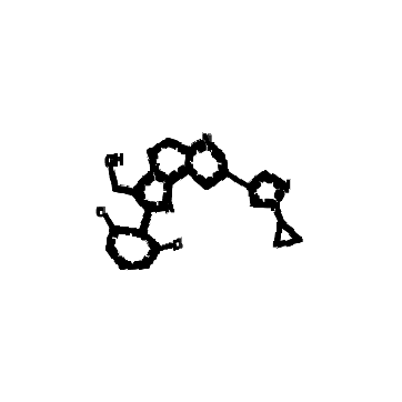 OCc1c(-c2c(Cl)cccc2Cl)nc2c3cc(-c4cnn(C5CC5)c4)cnc3ccn12